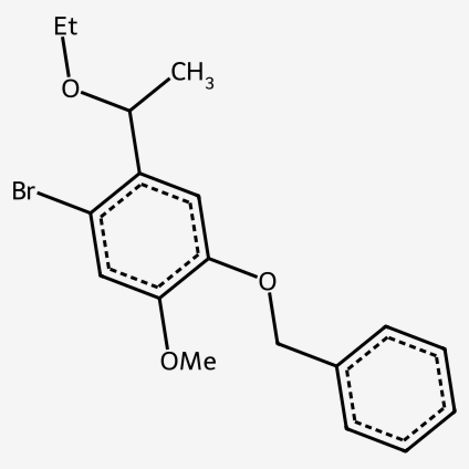 CCOC(C)c1cc(OCc2ccccc2)c(OC)cc1Br